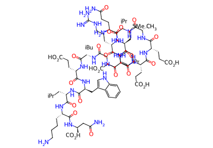 CC[C@H](C)[C@H](NC(=O)[C@H](Cc1ccccc1)NC(=O)[C@H](CC(C)C)NC(=O)[C@H](CCCNC(=N)N)NC(=O)[C@@H](NC(=O)[C@H](C)NC(=O)[C@H](CCC(=O)O)NC(=O)[C@H](CCC(=O)O)NC(=O)[C@H](CCC(=O)O)NC(=O)[C@H](CCSC)NC(=O)[C@@H](N)CCC(N)=O)C(C)C)C(=O)N[C@@H](CCC(=O)O)C(=O)N[C@@H](Cc1c[nH]c2ccccc12)C(=O)N[C@@H](CC(C)C)C(=O)N[C@@H](CCCCN)C(=O)N[C@@H](CC(N)=O)C(=O)O